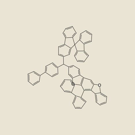 c1ccc(-c2ccc(C(c3ccc4c(c3)C3(c5ccccc5-c5ccccc53)c3ccccc3-4)c3ccc4c(c3)oc3c(-c5ccccc5-c5ccccc5)c5c(cc34)oc3ccccc35)cc2)cc1